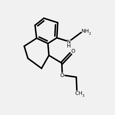 CCOC(=O)C1CCCc2cccc(NN)c21